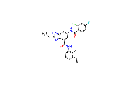 BCc1nc2c(C(=O)Nc3cccc(C=C)c3C)cc(NC(=O)c3ccc(F)cc3Cl)cc2[nH]1